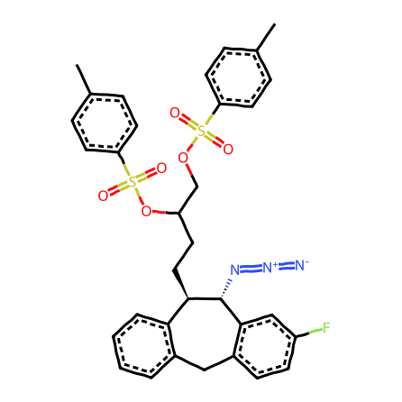 Cc1ccc(S(=O)(=O)OCC(CC[C@@H]2c3ccccc3Cc3ccc(F)cc3[C@H]2N=[N+]=[N-])OS(=O)(=O)c2ccc(C)cc2)cc1